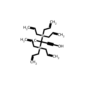 C=CC[Si](CC=C)(CC=C)C(C)(C#CO)[Si](CC=C)(CC=C)CC=C